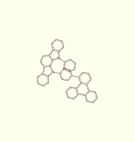 c1ccc(-n2c3ccccc3c3ccc4c5ccccc5n(-c5ccc(-c6cccc7c8ccccc8c8ccccc8c67)cc5)c4c32)cc1